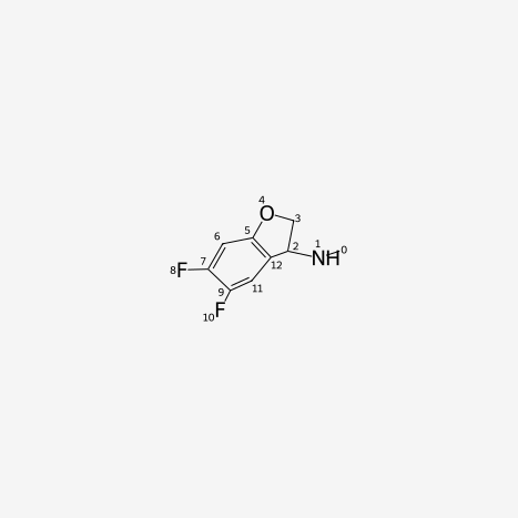 CNC1COc2cc(F)c(F)cc21